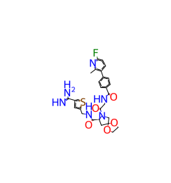 Cc1nc(F)ccc1-c1ccc(C(=O)NCC(=O)N2CC3(C[C@H]2C(=O)NCc2cc(C(=N)N)cs2)OCCO3)cc1